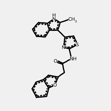 Cc1[nH]c2ccccc2c1-c1csc(NC(=O)Cc2cc3ccccc3o2)n1